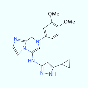 COc1ccc(N2C=C(Nc3cc(C4CC4)[nH]n3)[N+]3C=CN=C3C2)cc1OC